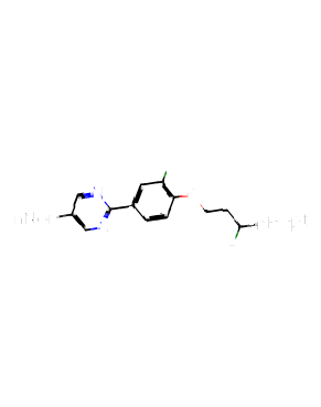 CCCCCCCCCc1cnc(-c2ccc(OCCC(F)CCCCCCC)c(F)c2)nc1